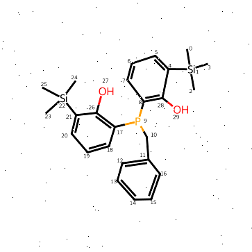 C[Si](C)(C)c1cccc(P(Cc2ccccc2)c2cccc([Si](C)(C)C)c2O)c1O